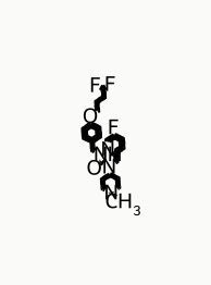 CN1CCC(N(Cc2ccc(F)cn2)C(=O)NCc2ccc(OCCCC(F)F)cc2)CC1